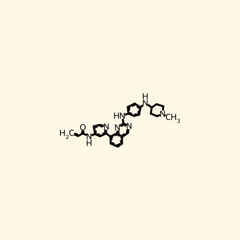 C=CC(=O)Nc1ccnc(-c2cccc3cnc(Nc4ccc(NC5CCN(C)CC5)cc4)nc23)c1